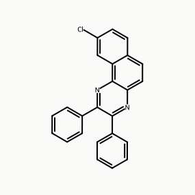 Clc1ccc2ccc3nc(-c4ccccc4)c(-c4ccccc4)nc3c2c1